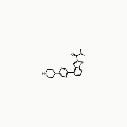 CN(C)C(=O)c1cc2c(-c3ccc(C4CCNCC4)cc3)cccc2[nH]1